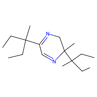 CCC(C)(CC)C1=NCC(C)(C(C)(CC)CC)N=C1